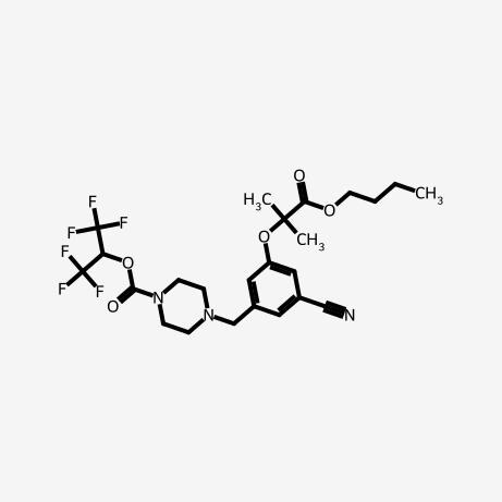 CCCCOC(=O)C(C)(C)Oc1cc(C#N)cc(CN2CCN(C(=O)OC(C(F)(F)F)C(F)(F)F)CC2)c1